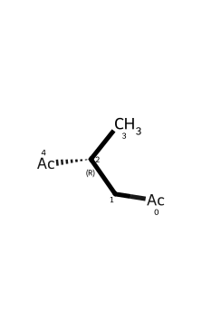 CC(=O)C[C@@H](C)C(C)=O